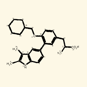 Cc1[nH]c2ccc(-c3cc(CC(C)C(=O)O)ccc3OCC3CCCCC3)cc2c1C